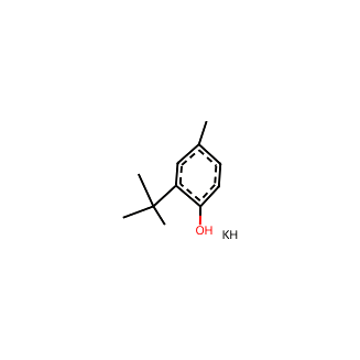 Cc1ccc(O)c(C(C)(C)C)c1.[KH]